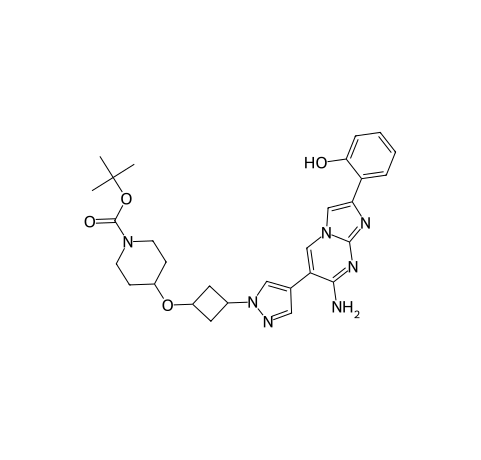 CC(C)(C)OC(=O)N1CCC(OC2CC(n3cc(-c4cn5cc(-c6ccccc6O)nc5nc4N)cn3)C2)CC1